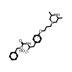 CC1CN(CCCOc2ccc(CC(NC(=O)OCc3ccccc3)C(=O)O)cc2)CC(C)N1